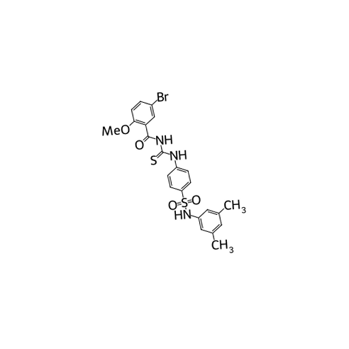 COc1ccc(Br)cc1C(=O)NC(=S)Nc1ccc(S(=O)(=O)Nc2cc(C)cc(C)c2)cc1